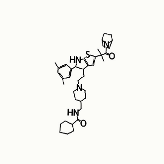 Cc1cc(C)cc(C2Nc3sc(C(C)(C)C(=O)N4C5CCC4CC5)cc3C2CCN2CCC(CNC(=O)C3CCCCC3)CC2)c1